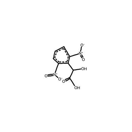 O=C(O)C(O)c1c([N+](=O)[O-])cccc1[N+](=O)[O-]